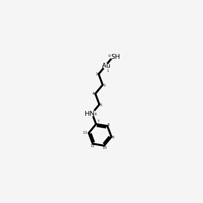 [SH][Au][CH2]CCCNc1ccccc1